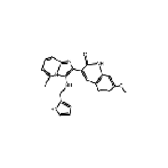 COc1ccc2cc(-c3nc4cccc(C)n4c3NCc3ccc[nH]3)c(=O)[nH]c2c1